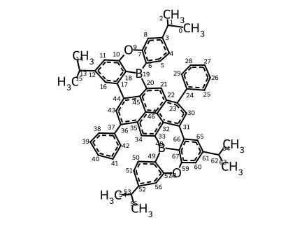 CC(C)c1ccc2c(c1)Oc1cc(C(C)C)cc3c1B2c1cc2c(-c4ccccc4)cc4c5c(cc6c(-c7ccccc7)cc-3c1c6c25)B1c2ccc(C(C)C)cc2Oc2cc(C(C)C)cc-4c21